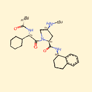 CC[C@@H](C)C(=O)N[C@H](C(=O)N1C[C@@H](NC(C)(C)C)C[C@H]1C(=O)N[C@@H]1CCCc2ccccc21)C1CCCCC1